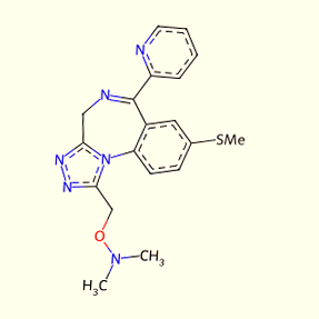 CSc1ccc2c(c1)C(c1ccccn1)=NCc1nnc(CON(C)C)n1-2